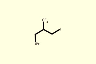 CC(C)CC(CI)C(F)(F)F